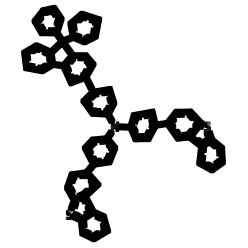 c1ccc(C2(c3ccccc3)c3ccccc3-c3cc(-c4ccc(N(c5ccc(-c6ccc7sc8ccccc8c7c6)cc5)c5ccc(-c6ccc7sc8ccccc8c7c6)cc5)cc4)ccc32)cc1